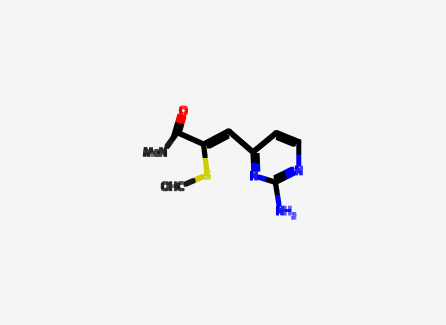 CNC(=O)/C(=C/c1ccnc(N)n1)SC=O